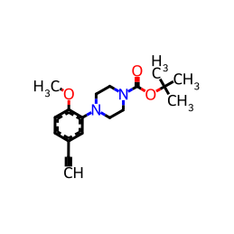 C#Cc1ccc(OC)c(N2CCN(C(=O)OC(C)(C)C)CC2)c1